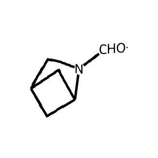 O=[C]N1CC2CC1C2